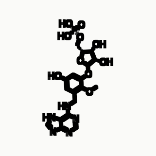 COc1c(CNc2ncnc3nc[nH]c23)cc(O)cc1OC1O[C@H](COP(=O)(O)O)[C@@H](O)[C@H]1O